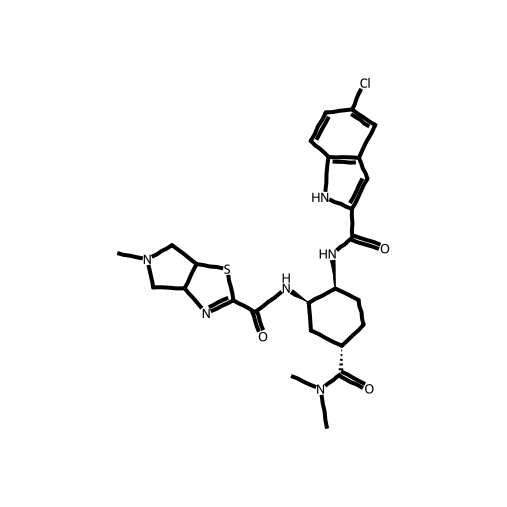 CN1CC2N=C(C(=O)N[C@@H]3C[C@@H](C(=O)N(C)C)CC[C@@H]3NC(=O)c3cc4cc(Cl)ccc4[nH]3)SC2C1